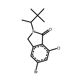 CC(N1Cc2cc(Br)cc(Cl)c2C1=O)C(C)(C)C